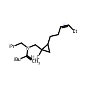 C=C(C(C)CC)N(CC(C)C)CC1(C)CC1CC/C=C\CC